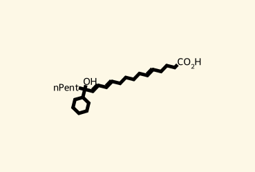 CCCCCC(O)(/C=C/C=C/CCCC/C=C/CCCC(=O)O)C1CCCCC1